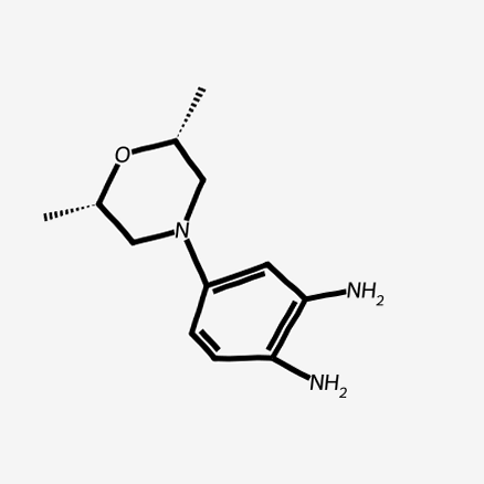 C[C@@H]1CN(c2ccc(N)c(N)c2)C[C@H](C)O1